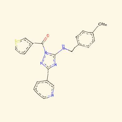 COc1ccc(CNc2nc(-c3cccnc3)nn2C(=O)c2ccsc2)cc1